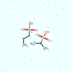 CC(C)S(=O)(=O)O.CCCS(=O)(=O)O